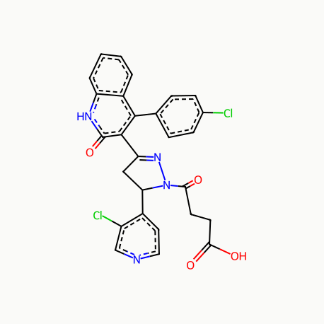 O=C(O)CCC(=O)N1N=C(c2c(-c3ccc(Cl)cc3)c3ccccc3[nH]c2=O)CC1c1ccncc1Cl